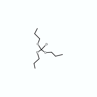 CCCOC([O])(OCCC)OCCC